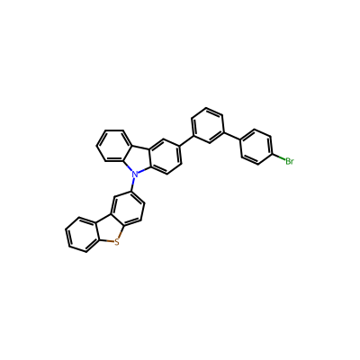 Brc1ccc(-c2cccc(-c3ccc4c(c3)c3ccccc3n4-c3ccc4sc5ccccc5c4c3)c2)cc1